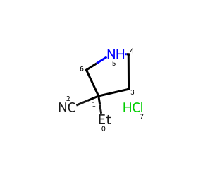 CCC1(C#N)CCNC1.Cl